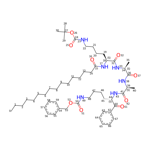 CCCCCCCCCCCCCCCC(=O)N[C@@H](CCCCNC(=O)OC(C)(C)C)C(=O)N[C@@H](C)C(=O)N[C@@H](C)C(=O)N[C@@H](CCCCNC(=O)OCc1ccccc1)C(=O)c1ccccc1